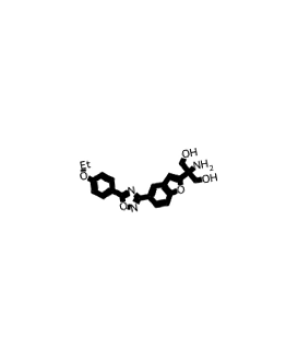 CCOc1ccc(-c2nc(-c3ccc4oc(C(N)(CO)CO)cc4c3)no2)cc1